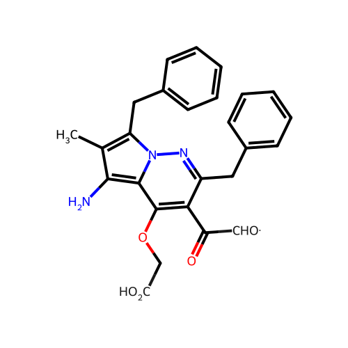 Cc1c(N)c2c(OCC(=O)O)c(C(=O)[C]=O)c(Cc3ccccc3)nn2c1Cc1ccccc1